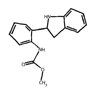 COC(=O)Nc1ccccc1C1Cc2ccccc2N1